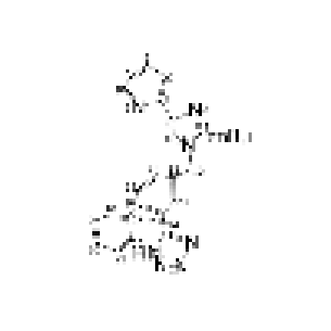 CCCCc1nc(-c2ccccn2)cn1Cc1ccc(-c2ccccc2)c(-c2nnn[nH]2)c1